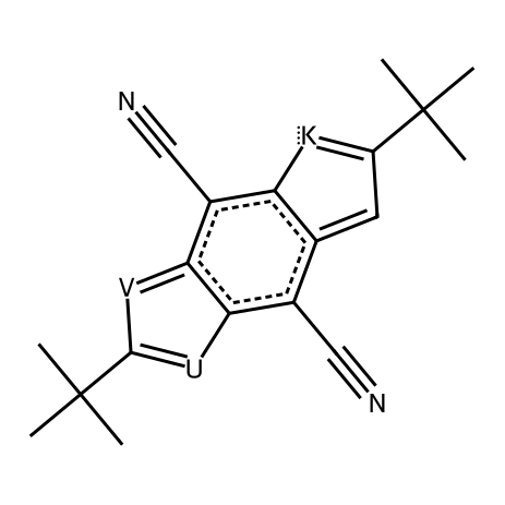 CC(C)(C)[C]1=[K][c]2c(C#N)[c]3[c](c(C#N)c2=C1)[U]=[C](C(C)(C)C)[V]=3